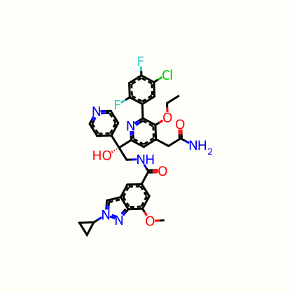 CCOc1c(CC(N)=O)cc([C@@](O)(CNC(=O)c2cc(OC)c3nn(C4CC4)cc3c2)c2ccncc2)nc1-c1cc(Cl)c(F)cc1F